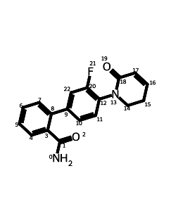 NC(=O)c1ccccc1-c1ccc(N2CCC=CC2=O)c(F)c1